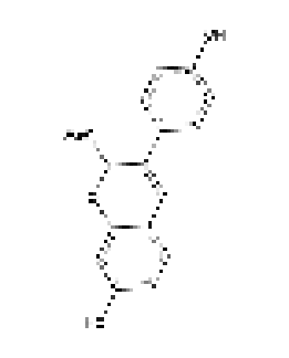 CSC1Oc2cc(O)ccc2C=C1c1ccc(O)cc1